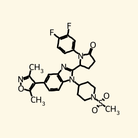 Cc1noc(C)c1-c1ccc2c(c1)nc(C1CCC(=O)N1c1ccc(F)c(F)c1)n2C1CCN(S(C)(=O)=O)CC1